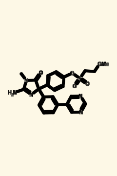 COCCS(=O)(=O)Oc1ccc(C2(c3cccc(-c4cncnc4)c3)N=C(N)N(C)C2=O)cc1